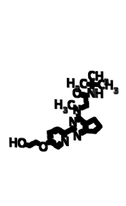 CN(CC(=O)NC(C)(C)C)c1nc(-c2ccc(OCCO)cn2)nc2c1CCC2